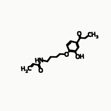 C=CC(=O)NCCCCOc1ccc(C(=O)CC)cc1O